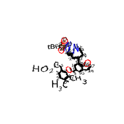 Cc1ccc(CC(=O)O)c(OCc2cc(-c3ccnc(C=NS(=O)(=O)C(C)(C)C)c3)c3occc3c2)c1C